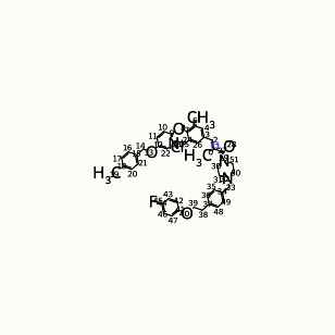 C/C(=C\c1cc(C)c(Oc2ccc(OCc3ccc(C)cc3)cn2)c(Cl)c1)C(=O)N1CCN(Cc2ccc(CCOc3ccc(F)cc3)cc2)CC1